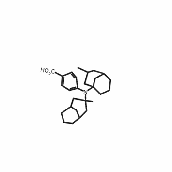 CC1CC2CCCC(N(c3ccc(C(=O)O)cc3)C3(C)CC4CCCC(C4)C3)(C1)C2